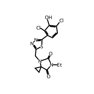 CCN1C(=O)N(Cc2nnc(-c3ccc(Cl)c(O)c3Cl)s2)C2(CC2)C1=O